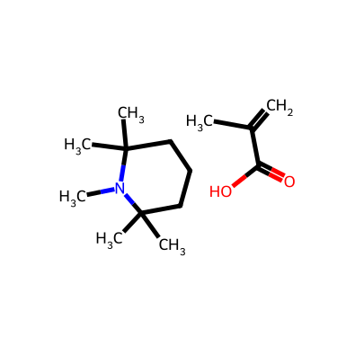 C=C(C)C(=O)O.CN1C(C)(C)CCCC1(C)C